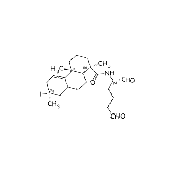 C[C@]1(I)CC=C2C(CCC3[C@](C)(C(=O)N[C@H](C=O)CCCC=O)CCC[C@@]23C)C1